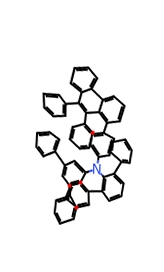 c1ccc(-c2cc(-c3ccccc3)cc(N(c3ccc(-c4cccc5c4c(-c4ccccc4)c(-c4ccccc4)c4ccccc45)cc3)c3c(-c4ccccc4)cccc3-c3ccccc3)c2)cc1